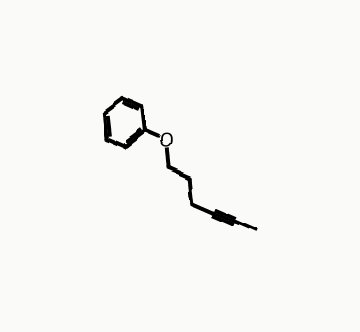 CC#CCCCOc1ccccc1